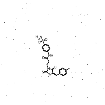 Cc1ccc(C=C2SC(=S)N(CCC(=O)Nc3ccc(S(N)(=O)=O)cc3)C2=O)cc1